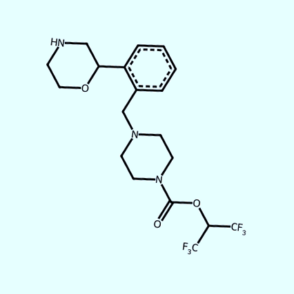 O=C(OC(C(F)(F)F)C(F)(F)F)N1CCN(Cc2ccccc2C2CNCCO2)CC1